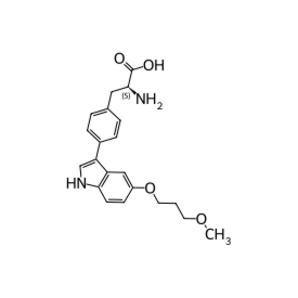 COCCCOc1ccc2[nH]cc(-c3ccc(C[C@H](N)C(=O)O)cc3)c2c1